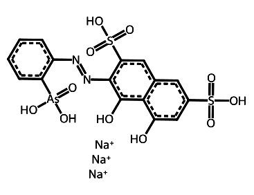 O=S(=O)(O)c1cc(O)c2c(O)c(N=Nc3ccccc3[As](=O)(O)O)c(S(=O)(=O)O)cc2c1.[Na+].[Na+].[Na+]